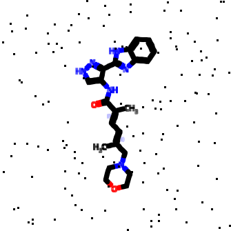 C/C(=C\C=C(/C)C(=O)Nc1c[nH]nc1-c1nc2ccccc2[nH]1)CN1CCOCC1